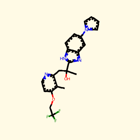 Cc1c(OCC(F)(F)F)ccnc1CC(C)(O)c1nc2cc(-n3cccc3)ccc2[nH]1